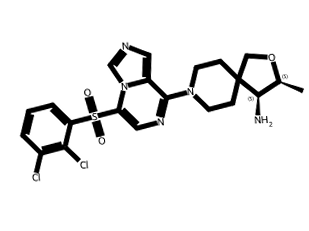 C[C@@H]1OCC2(CCN(c3ncc(S(=O)(=O)c4cccc(Cl)c4Cl)n4cncc34)CC2)[C@@H]1N